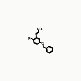 O=[N+]([O-])/C=C/c1cc(OCc2ccccc2)ccc1Br